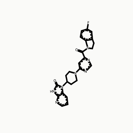 O=C(c1cc(N2CCC(n3c(=O)[nH]c4ncccc43)CC2)ncn1)N1CCc2cc(F)ccc21